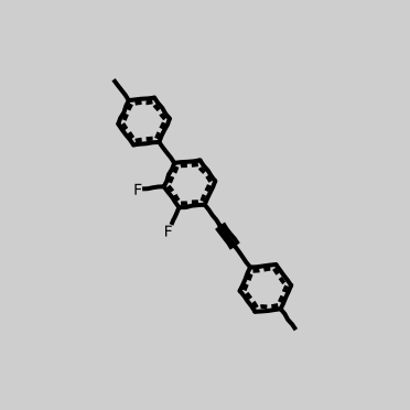 Cc1ccc(C#Cc2ccc(-c3ccc(C)cc3)c(F)c2F)cc1